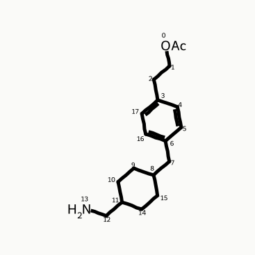 CC(=O)OCCc1ccc(CC2CCC(CN)CC2)cc1